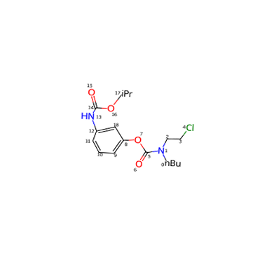 CCCCN(CCCl)C(=O)Oc1cccc(NC(=O)OC(C)C)c1